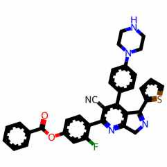 N#Cc1c(-c2ccc(OC(=O)c3ccccc3)cc2F)nc2c(c1-c1ccc(N3CCNCC3)cc1)C(c1cccs1)=NC2